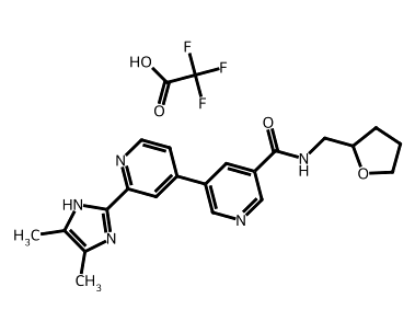 Cc1nc(-c2cc(-c3cncc(C(=O)NCC4CCCO4)c3)ccn2)[nH]c1C.O=C(O)C(F)(F)F